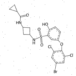 O=C(NC1CC(NS(=O)(=O)c2cc(Oc3c(Cl)cc(Br)cc3Cl)ccc2O)C1)C1CC1